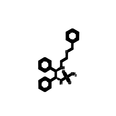 CS(=O)(=O)N[C@H](c1ccccc1)[C@H](NCCOCc1ccccc1)c1ccccc1